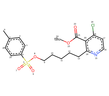 Cc1ccc(S(=O)(=O)OCCCCCc2nccc(Cl)c2C(=O)OC(C)(C)C)cc1